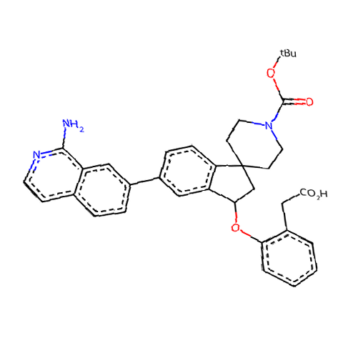 CC(C)(C)OC(=O)N1CCC2(CC1)CC(Oc1ccccc1CC(=O)O)c1cc(-c3ccc4ccnc(N)c4c3)ccc12